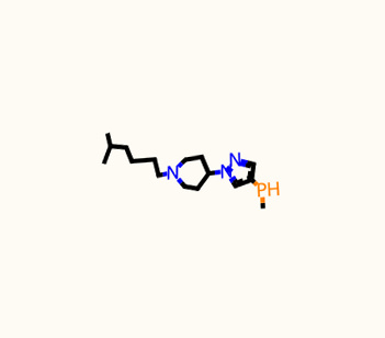 CPc1cnn(C2CCN(CCCCC(C)C)CC2)c1